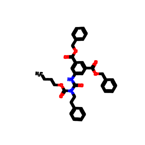 CCCCOC(=O)N(CCc1ccccc1)C(=O)Nc1cc(C(=O)OCc2ccccc2)cc(C(=O)OCc2ccccc2)c1